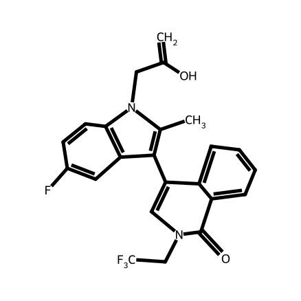 C=C(O)Cn1c(C)c(-c2cn(CC(F)(F)F)c(=O)c3ccccc23)c2cc(F)ccc21